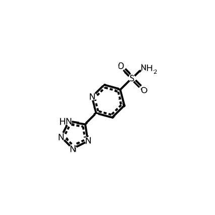 NS(=O)(=O)c1ccc(-c2nnn[nH]2)nc1